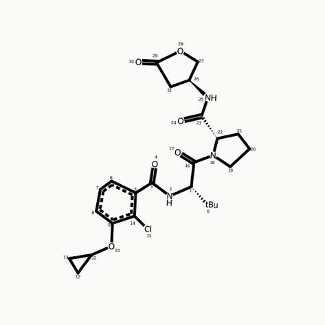 CC(C)(C)[C@H](NC(=O)c1cccc(OC2CC2)c1Cl)C(=O)N1CCC[C@H]1C(=O)N[C@@H]1COC(=O)C1